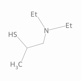 CCN(CC)CC(C)S